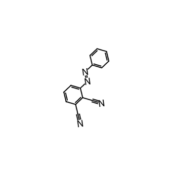 N#Cc1cccc(N=Nc2ccccc2)c1C#N